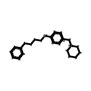 c1ccc(CCCCOc2ccc(CN3CCCCC3)cc2)cc1